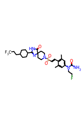 Cc1cc(N(CCF)C(N)=O)cc(C)c1/C=C/S(=O)(=O)N1CCC2(CC1)N=C(C1CCC(CCC(F)(F)F)CC1)NC2=O